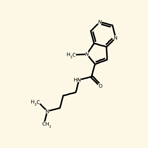 CN(C)CCCNC(=O)c1cc2ncncc2n1C